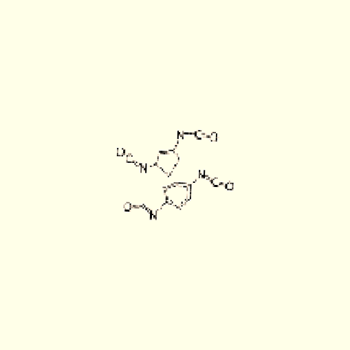 O=C=NC1=CC(N=C=O)CC1.O=C=Nc1ccc(N=C=O)cc1